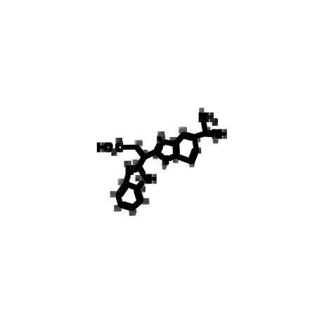 N=C(N)c1ccc2sc(C(CC(=O)O)c3nc4ccccc4[nH]3)nc2c1